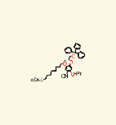 CCCCCCCCCCCCCCCCCCOC[C@H](COC(c1ccccc1)(c1ccccc1)c1ccccc1)Oc1ccc(C#N)c(OC(C)C)c1